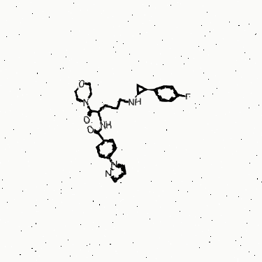 O=C(NC(CCCN[C@@H]1C[C@H]1c1ccc(F)cc1)C(=O)N1CCOCC1)c1ccc(-n2cccn2)cc1